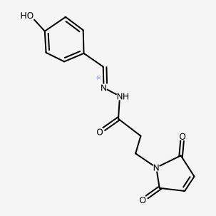 O=C(CCN1C(=O)C=CC1=O)N/N=C/c1ccc(O)cc1